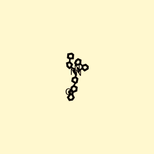 c1ccc(-c2cccc(-c3nc(-c4ccc(-c5ccc6c(c5)oc5ccccc56)cc4)nc(-c4ccccc4-c4ccccc4)n3)c2)cc1